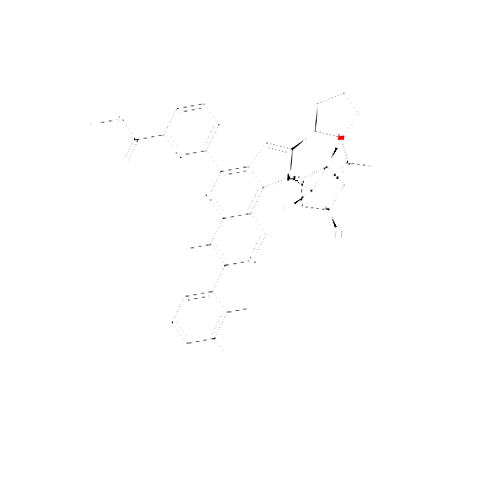 CNC(=O)c1cccc(-c2nc3c(F)c(-c4cccc(C)c4Cl)ncc3c3c2cc([C@H]2CCCN2C(=O)O)n3[C@H]2[C@H]3CN[C@@H]2C3)n1